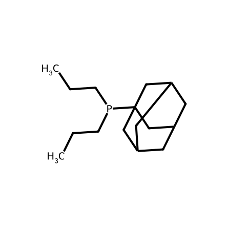 CCCP(CCC)C12CC3CC(CC(C3)C1)C2